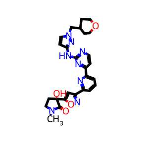 CN1CC[C@@](O)(c2cc(-c3cccc(-c4ccnc(Nc5ccn(CC6CCOCC6)n5)n4)n3)no2)C1=O